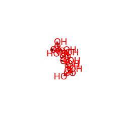 CCOCC1OC(COCC2C(COCCO)OC(COC(C)(C)C)C(O)C2O)C(O)C(O)C1COCC1OC(COCC)C(COCC2OC(COCCO)C(C(C)(C)OC)C(O)C2O)C(O)C1O